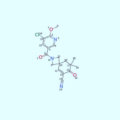 COc1ncc(C(=O)N2CC3(C=C(C#N)C(=O)C(C)(C)C3)C2)cc1Cl